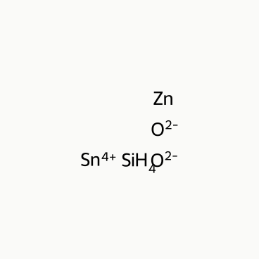 [O-2].[O-2].[SiH4].[Sn+4].[Zn]